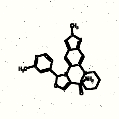 Cc1cc(C2OC=C(C(N)=O)N2c2cc3cn(C)nc3cc2N2CCCCC2)ccn1